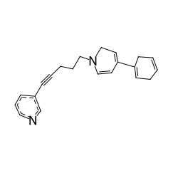 C(#Cc1cccnc1)CCCN1C=CC(C2=CCC=CC2)=CC1